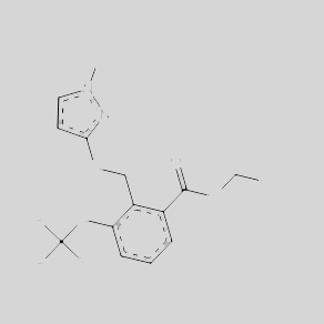 CCOC(=O)c1cccc(SC(F)(F)F)c1COc1ccn(S)n1